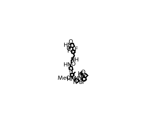 COc1cc(N2CCC(NC(=O)CNCCc3cc(F)c(C4CCC(=O)NC4=O)c(F)c3)CC2)c(C)cc1Nc1ncc(Br)c(Nc2cccc3c2N(S(C)(=O)=O)CC3)n1